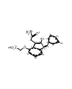 CCC1=C(CC(N)=O)c2c(OCC(=O)O)cccc2/C1=C/c1ccccc1